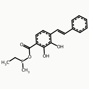 CCP(C)OC(=O)c1ccc(/C=C/c2ccccc2)c(O)c1O